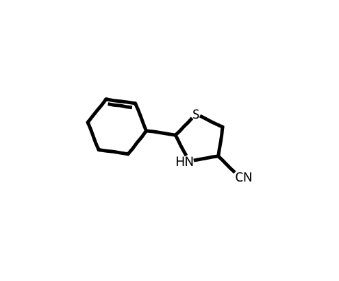 N#CC1CSC(C2C=CCCC2)N1